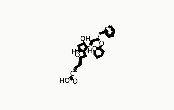 O=C(O)CCC/C=C1/C[C@@H]2[C@@H](/C=C/[C@H](Cc3ccccc3)OC3CCCCO3)[C@H](O)C[C@H]2O1